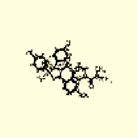 CCOc1nc(C(C)(C)C)ncc1C1=N[C@@](C)(c2ccc(Cl)cc2)[C@@](C)(c2ccc(Cl)cc2)N1C(=O)N1CCN(C(=O)N(C)C)CC1